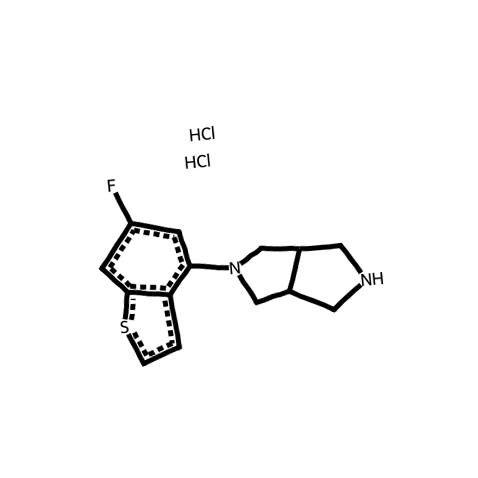 Cl.Cl.Fc1cc(N2CC3CNCC3C2)c2ccsc2c1